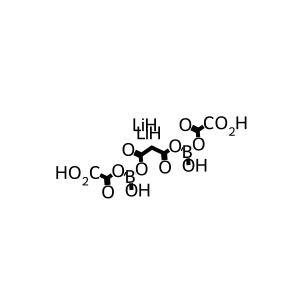 O=C(CC(=O)OB(O)OC(=O)C(=O)O)OB(O)OC(=O)C(=O)O.[LiH].[LiH]